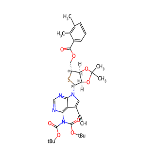 C#Cc1cn([C@@H]2S[C@H](COC(=O)c3cccc(C)c3C)[C@H]3OC(C)(C)O[C@H]32)c2ncnc(N(C(=O)OC(C)(C)C)C(=O)OC(C)(C)C)c12